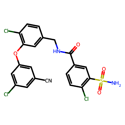 N#Cc1cc(Cl)cc(Oc2cc(CNC(=O)c3ccc(Cl)c(S(N)(=O)=O)c3)ccc2Cl)c1